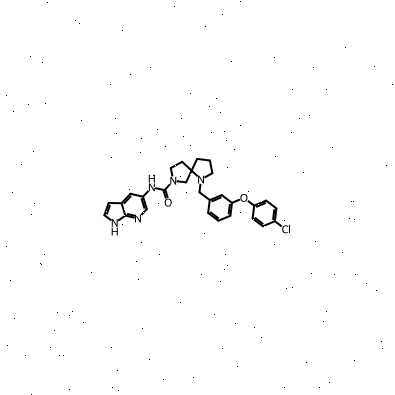 O=C(Nc1cnc2[nH]ccc2c1)N1CCC2(CCCN2Cc2cccc(Oc3ccc(Cl)cc3)c2)C1